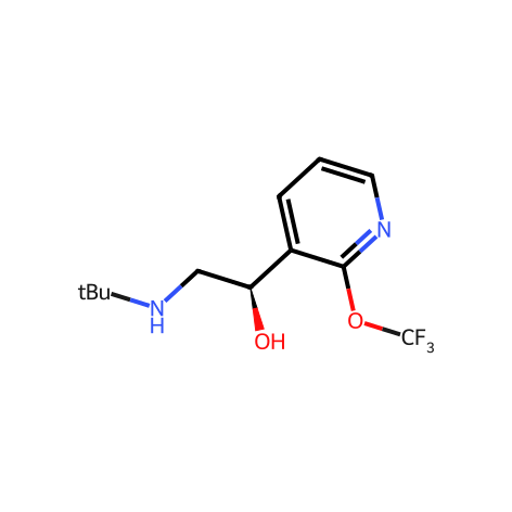 CC(C)(C)NC[C@H](O)c1cccnc1OC(F)(F)F